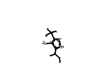 CCC(C)c1[nH]nc(C(C)(C)C)c1O